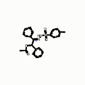 CC(=O)OC(/C(=N/NS(=O)(=O)c1ccc(C)cc1)c1ccccc1)c1ccccc1